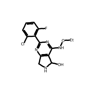 CCONc1nc(-c2c(F)cccc2Cl)nc2c1C(O)NC2